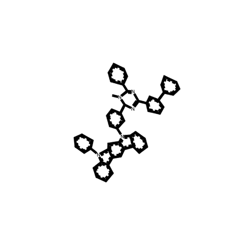 CN1C(c2ccccc2)=NC(c2cccc(-c3ccccc3)c2)=NC1c1cccc(-n2c3ccccc3c3cc4c5ccccc5n(-c5ccccc5)c4cc32)c1